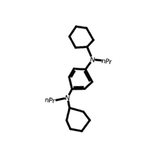 CCCN(c1ccc(N(CCC)C2CCCCC2)cc1)C1CCCCC1